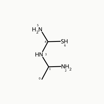 CC(N)NC(N)S